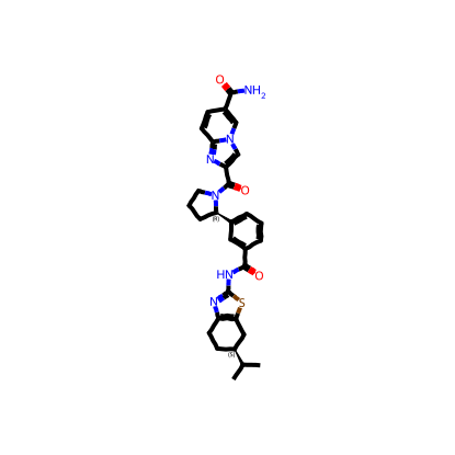 CC(C)[C@H]1CCc2nc(NC(=O)c3cccc([C@H]4CCCN4C(=O)c4cn5cc(C(N)=O)ccc5n4)c3)sc2C1